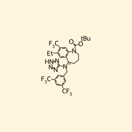 CCc1cc2c(cc1C(F)(F)F)N(C(=O)OC(C)(C)C)CCC[C@@H]2N(Cc1cc(C(F)(F)F)cc(C(F)(F)F)c1)c1nn[nH]n1